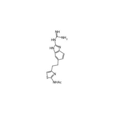 CC(=O)Nc1nc(CCc2ccc3nc(NC(=N)N)[nH]c3c2)cs1